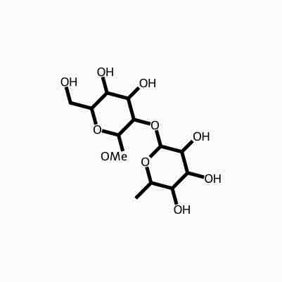 COC1OC(CO)C(O)C(O)C1OC1OC(C)C(O)C(O)C1O